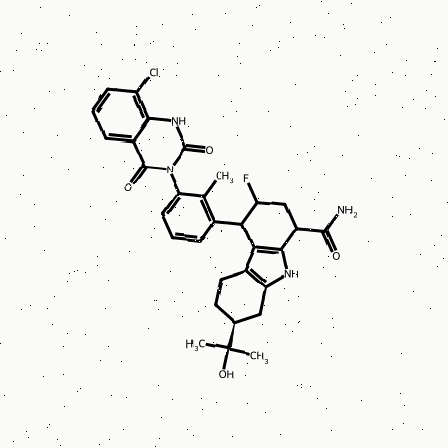 Cc1c(C2c3c([nH]c4c3CC[C@H](C(C)(C)O)C4)C(C(N)=O)CC2F)cccc1-n1c(=O)[nH]c2c(Cl)cccc2c1=O